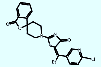 CCC(=C1SC(N2CCC3(CC2)OC(=O)c2ccccc23)=NC1=O)c1ccc(Cl)nc1